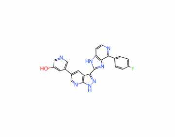 Oc1cncc(-c2cnc3[nH]nc(-c4nc5c(-c6ccc(F)cc6)nccc5[nH]4)c3c2)c1